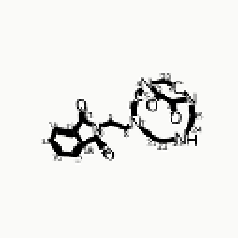 O=C1C(=O)N2CCN(CCN3C(=O)c4ccccc4C3=O)CCNCCN1CC2